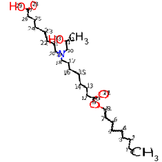 CCCCCCCCCOC(=O)CCCCCCCN(CCCCCCCC(=O)O)CC(C)O